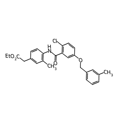 CCOC(=O)Cc1ccc(NC(=O)c2cc(OCc3cccc(C)c3)ccc2Cl)c(C)c1